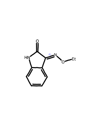 CCO/N=C1/C(=O)Nc2ccccc21